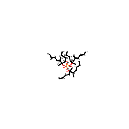 CCCCC(C)C(C)(CCCC)OP(=O)(OC(C)(CCCC)C(C)CCCC)OC(C)(CCCC)C(C)CCCC